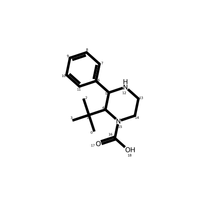 CC(C)(C)C1C(c2ccccc2)NCCN1C(=O)O